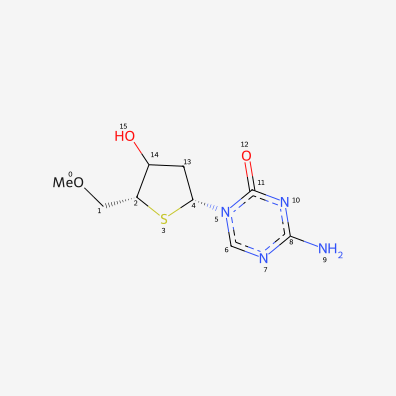 COC[C@H]1S[C@@H](n2cnc(N)nc2=O)CC1O